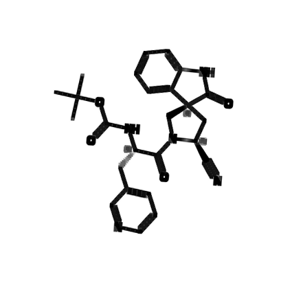 CC(C)(C)OC(=O)N[C@@H](Cc1cccnc1)C(=O)N1C[C@]2(C[C@H]1C#N)C(=O)Nc1ccccc12